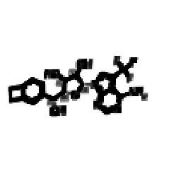 Nc1ncnc2c1c(C(F)(F)F)cn2[C@@H]1O[C@H]([C@H](O)c2ccc3c(c2)CC3)[C@@H](O)[C@H]1O